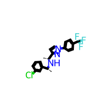 C[C@@H](N[C@H](C)c1ccn(-c2ccc(C(F)(F)F)cc2)n1)c1cccc(Cl)c1